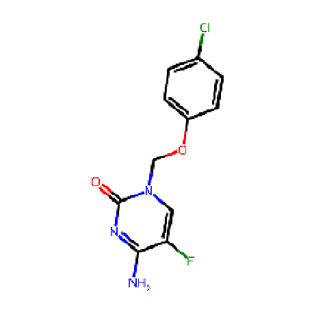 Nc1nc(=O)n(COc2ccc(Cl)cc2)cc1F